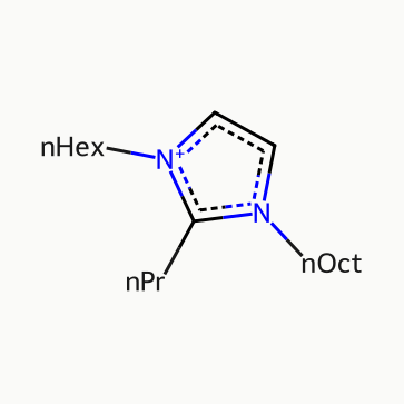 CCCCCCCCn1cc[n+](CCCCCC)c1CCC